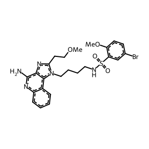 COCCc1nc2c(N)nc3ccccc3c2n1CCCCNS(=O)(=O)c1cc(Br)ccc1OC